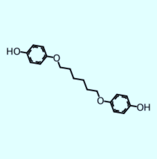 Oc1ccc(OCCCCCCOc2ccc(O)cc2)cc1